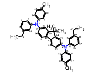 CCc1cccc(N(c2ccc(C)cc2)c2ccc3c(c2)C(C)(C)c2cc(N(c4ccc(C)cc4)c4cccc(CC)c4)ccc2-3)c1